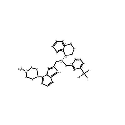 CN1CCN(c2cccc3nc(CN(Cc4cccc(C(F)(F)F)c4)[C@H]4CCCc5cccnc54)cn23)CC1